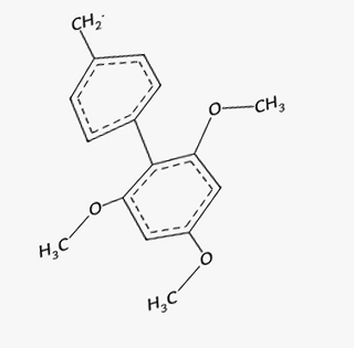 [CH2]c1ccc(-c2c(OC)cc(OC)cc2OC)cc1